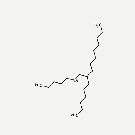 CCCCCCCCC(CCCCCC)CNCCCCC